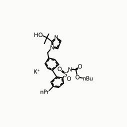 CCCCOC(=O)[N-]S(=O)(=O)c1ccc(CCC)cc1-c1ccc(Cn2ccnc2C(C)(C)O)cc1.[K+]